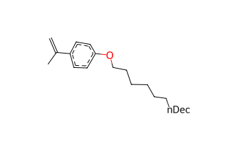 C=C(C)c1ccc(OCCCCCCCCCCCCCCCC)cc1